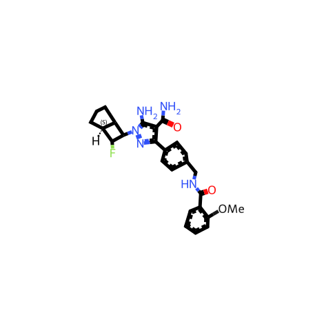 COc1ccccc1C(=O)NCc1ccc(-c2nn(C3C(F)[C@H]4CCCC34)c(N)c2C(N)=O)cc1